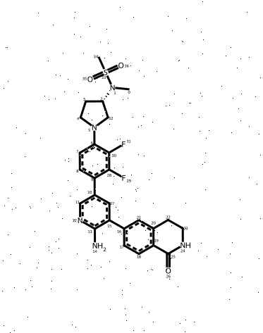 CN([C@H]1CCN(c2ccc(-c3cnc(N)c(-c4ccc5c(c4)CCNC5=O)c3)c(F)c2F)C1)S(C)(=O)=O